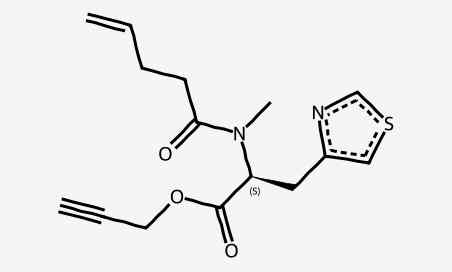 C#CCOC(=O)[C@H](Cc1cscn1)N(C)C(=O)CCC=C